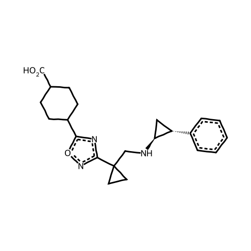 O=C(O)C1CCC(c2nc(C3(CN[C@H]4C[C@@H]4c4ccccc4)CC3)no2)CC1